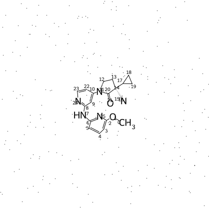 COc1cccc(Nc2cc(N3CC[C@@](C#N)(C4CC4)C3=O)ccn2)n1